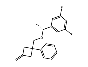 C=C1CC(CO[C@H](C)c2cc(F)cc(F)c2)(c2ccccc2)C1